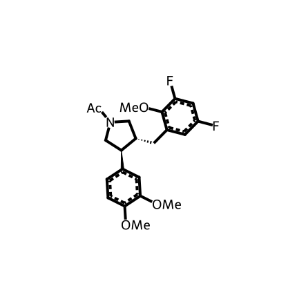 COc1ccc([C@H]2CN(C(C)=O)C[C@@H]2Cc2cc(F)cc(F)c2OC)cc1OC